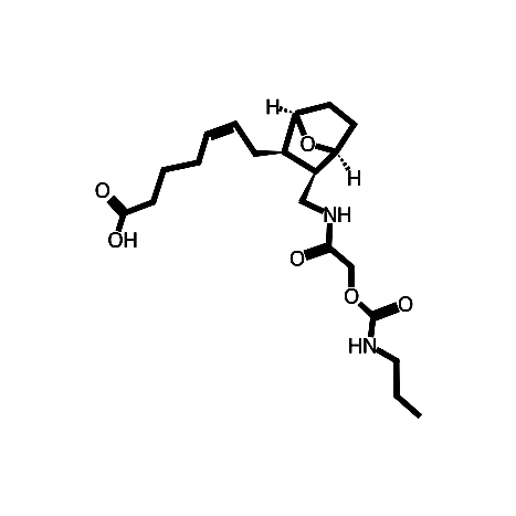 CCCNC(=O)OCC(=O)NC[C@H]1[C@@H](C/C=C\CCCC(=O)O)[C@H]2CC[C@@H]1O2